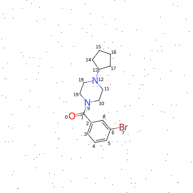 O=C(c1cccc(Br)c1)N1CCN(C2CCCC2)CC1